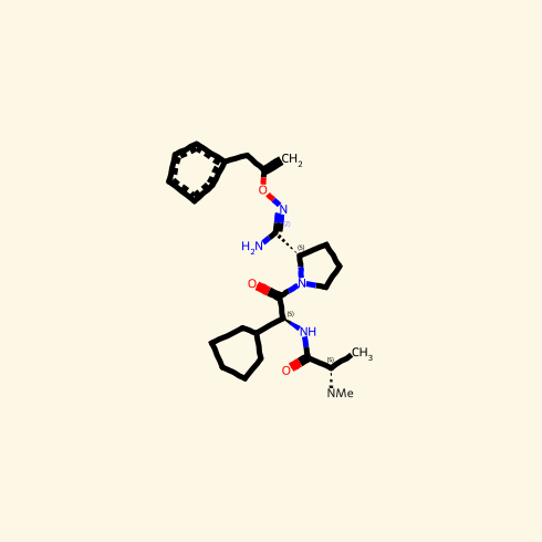 C=C(Cc1ccccc1)O/N=C(\N)[C@@H]1CCCN1C(=O)[C@@H](NC(=O)[C@H](C)NC)C1CCCCC1